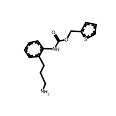 NCCCc1ccccc1NC(=O)OCc1cccs1